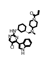 C=CC(=O)N1CCC(N(C)C[C@H]2CCC[C@@H](Nc3ncc(Cl)c(-c4c[nH]c5ccccc45)n3)C2)CC1